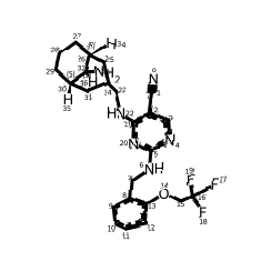 N#Cc1cnc(NCc2ccccc2OCC(F)(F)F)nc1NCC1C[C@H]2CCC[C@@H](C1)[C@@H]2N